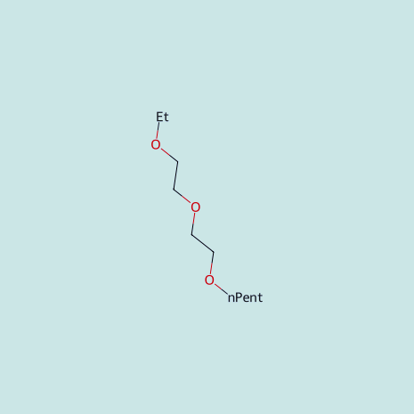 [CH2]CCCCOCCOCCOCC